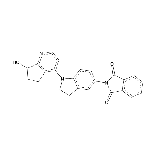 O=C1c2ccccc2C(=O)N1c1ccc2c(c1)CCN2c1ccnc2c1CCC2O